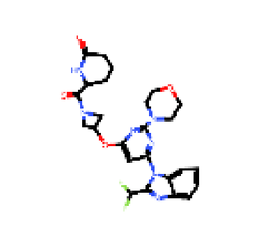 O=C1CCCC(C(=O)N2CC(Oc3cc(-n4c(C(F)F)nc5ccccc54)nc(N4CCOCC4)n3)C2)N1